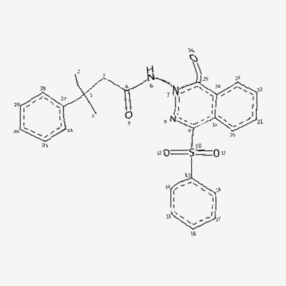 CC(C)(CC(=O)Nn1nc(S(=O)(=O)c2ccccc2)c2ccccc2c1=O)c1ccccc1